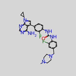 CN1CCN(Cc2ccc(NC(=O)Nc3ccc(-c4cn(C5CC5)c5ncnc(N)c45)cc3F)c(F)c2)CC1